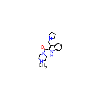 CN1CCN(C(=O)c2[nH]c3ccccc3c2CN2CCCC2)CC1